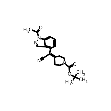 CC(=O)n1ncc2c(C(C#N)=C3CCN(C(=O)OC(C)(C)C)CC3)cccc21